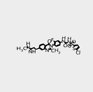 CNC(=N)CCc1ccc2c(=O)n(-c3ccc(NC(=O)NS(=O)(=O)c4ccc(Cl)s4)cc3F)c(C)nc2c1